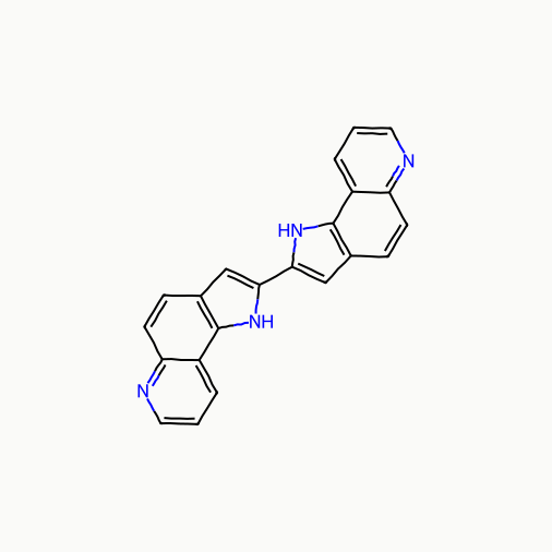 c1cnc2ccc3cc(-c4cc5ccc6ncccc6c5[nH]4)[nH]c3c2c1